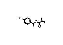 C=C(C)C(=O)OC(C)c1ccc(C(C)C)cc1